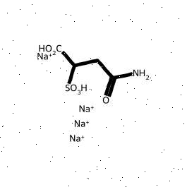 NC(=O)CC(C(=O)O)S(=O)(=O)O.[Na+].[Na+].[Na+].[Na+]